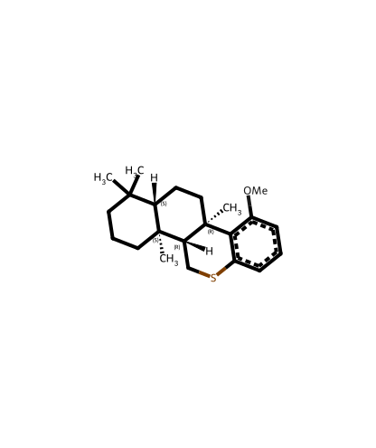 COc1cccc2c1[C@]1(C)CC[C@H]3C(C)(C)CCC[C@]3(C)[C@H]1CS2